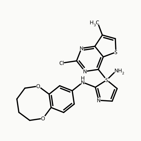 Cc1csc2c(S3(N)C=CN=C3Nc3ccc4c(c3)OCCCCO4)nc(Cl)nc12